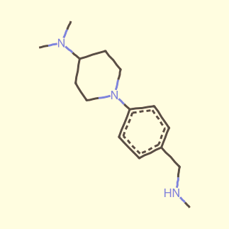 CNCc1ccc(N2CCC(N(C)C)CC2)cc1